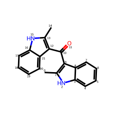 Cc1[nH]c2ccccc2c1C(=O)c1c(C)[nH]c2ccccc12